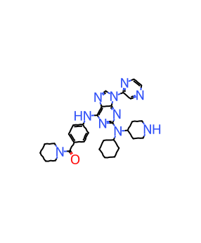 O=C(c1ccc(Nc2nc(N(C3CCCCC3)C3CCNCC3)nc3c2ncn3-c2cnccn2)cc1)N1CCCCC1